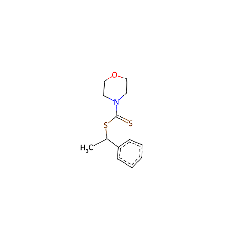 CC(SC(=S)N1CCOCC1)c1ccccc1